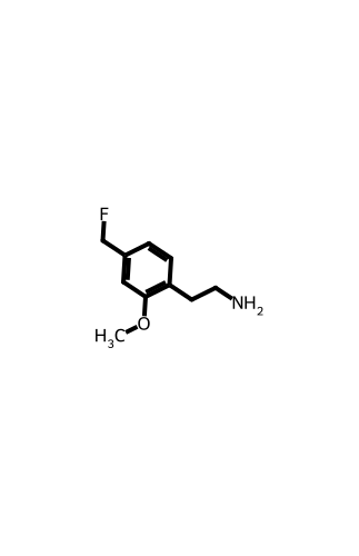 COc1cc(CF)ccc1CCN